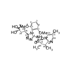 COc1cccc(OC)c1-n1c(NS(=O)(=O)[C@@H](C)[C@H](C)c2ncc(C)cn2)nnc1[C@@H]1CCS(O)(O)C1